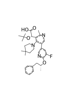 Cc1ncc(-c2cnc(O[C@H](C)Cc3ccccc3)c(F)c2)c(N2CCC(C)(C)CC2)c1[C@H](OC(C)(C)C)C(=O)O